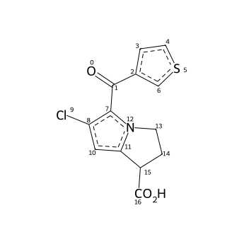 O=C(c1ccsc1)c1c(Cl)cc2n1CCC2C(=O)O